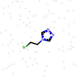 BrCCn1cnnc1